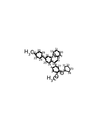 COc1ccc(C(=Cc2ccccn2)c2ccc(-c3ccc(C)cc3)cc2)cc1OC1CCCC1